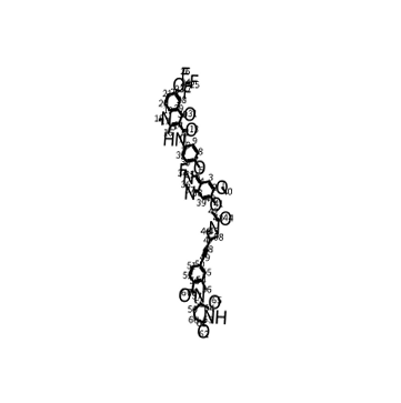 COc1cc2c(Oc3ccc(NC(=O)c4c(C)n(C)c5ccc(OC(F)(F)F)cc5c4=O)cc3F)ncnc2cc1OCC(=O)N1CC(C#Cc2ccc3c(c2)CN(C2CCC(=O)NC2=O)C3=O)C1